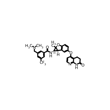 CN(C)Cc1cc(C(=O)N[C@H]2[C@@H]3c4cc(Oc5ccnc6c5CCC(=O)N6)ccc4OC23C)cc(C(F)(F)F)c1